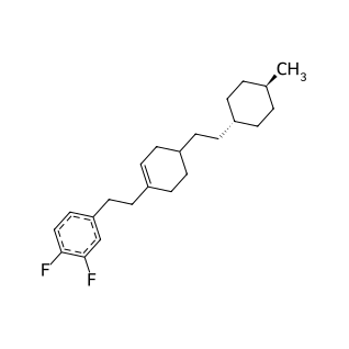 C[C@H]1CC[C@H](CCC2CC=C(CCc3ccc(F)c(F)c3)CC2)CC1